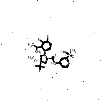 CO[C@@]1(C(F)(F)F)C[C@H](C(=O)Nc2ccnc([S@](C)(=N)=O)c2)N(c2ccc(F)c(F)c2C(C)C)C1